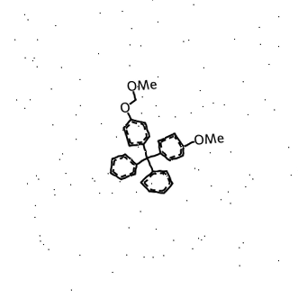 COCOc1ccc(C(c2ccccc2)(c2ccccc2)c2ccc(OC)cc2)cc1